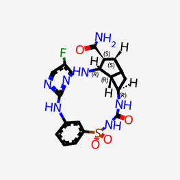 NC(=O)[C@H]1[C@H]2C[C@H]3[C@H]1Nc1nc(ncc1F)Nc1cccc(c1)S(=O)(=O)NC(=O)N[C@@H]3C2